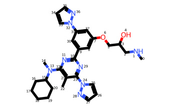 CNCC(O)COc1cc(-c2nc(N(C)C3CCCCC3)c(C)c(-n3cccn3)n2)cc(-n2cccn2)c1